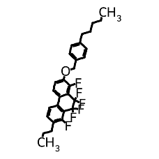 CCCCCc1ccc(COc2ccc3c(c2F)C(F)(F)C(F)(F)c2c-3ccc(CCC)c2F)cc1